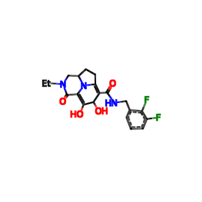 CCN1CC2CCC3=C(C(=O)NCc4cccc(F)c4F)C(O)C(O)=C(C1=O)N32